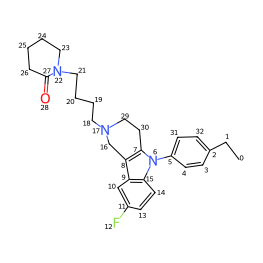 CCc1ccc(-n2c3c(c4cc(F)ccc42)CN(CCCCN2CCCCC2=O)CC3)cc1